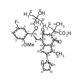 COc1ccc(F)cc1[C@H](Cn1c(=O)n(C(C)(C)C(=O)O)c(=O)c2c(C)c(-n3nccn3)sc21)OCC(C)(C)O